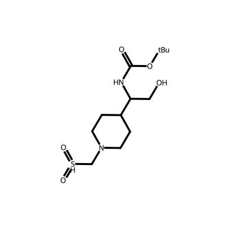 CC(C)(C)OC(=O)NC(CO)C1CCN(C[SH](=O)=O)CC1